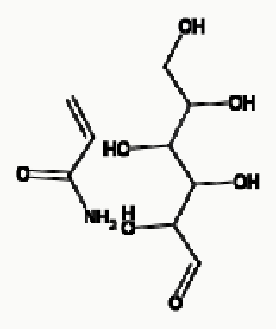 C=CC(N)=O.O=CC(O)C(O)C(O)C(O)CO